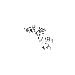 CC(C)(CC(N)CI)OCC(CI)NC(C)(C)OCCC(C)(C)C(C)(C)OCC(N)CI